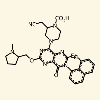 CCc1nc2c(N3CCN(C(=O)O)C(CC#N)C3)nc(OCC3CCCN3C)nc2c(=O)n1-c1cccc2cccc(Cl)c12